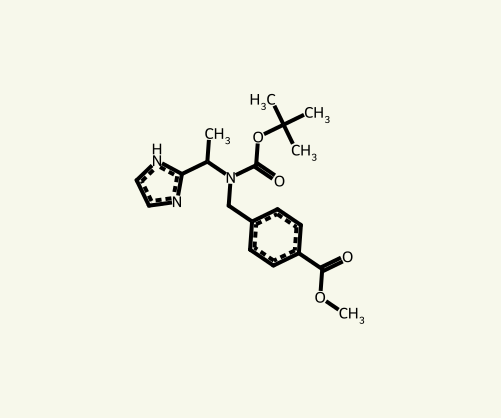 COC(=O)c1ccc(CN(C(=O)OC(C)(C)C)C(C)c2ncc[nH]2)cc1